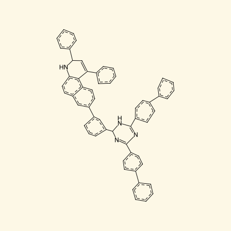 C1=C(c2ccccc2)c2c(ccc3cc(-c4cccc(C5N=C(c6ccc(-c7ccccc7)cc6)N=C(c6ccc(-c7ccccc7)cc6)N5)c4)ccc23)NC1c1ccccc1